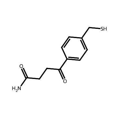 NC(=O)CCC(=O)c1ccc(CS)cc1